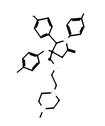 Cc1ccc(SC2(C(=O)NCCN3CCN(C)CC3)CC(=O)N(c3ccc(Cl)cc3)C2c2ccc(Cl)cc2)cc1